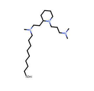 CCCCCCCCCCCCCCCCCCN(C)CCC1CCCC[N+]1CCCN(C)C